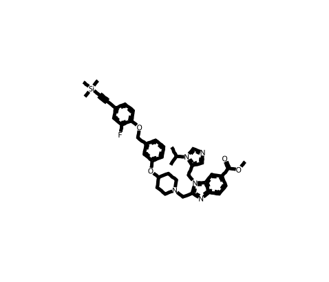 COC(=O)c1ccc2nc(CN3CCC(Oc4cccc(COc5ccc(C#C[Si](C)(C)C)cc5F)c4)CC3)n(Cc3cncn3C(C)C)c2c1